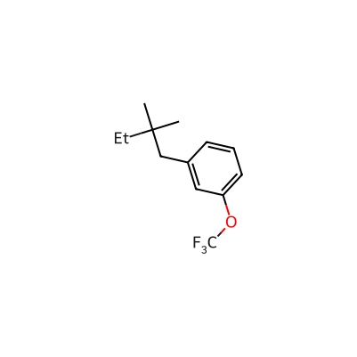 CCC(C)(C)Cc1cccc(OC(F)(F)F)c1